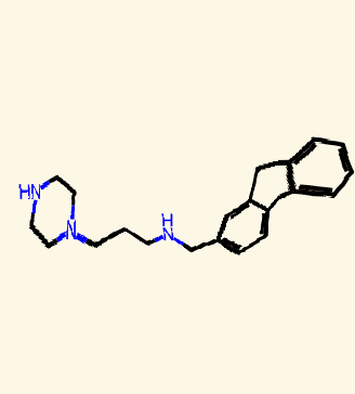 c1ccc2c(c1)Cc1cc(CNCCCN3CCNCC3)ccc1-2